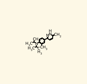 C=C1C=CC(c2ccc(N(C(C)C)C(C)C)c(C)c2)=NN1